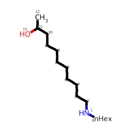 CCCCCCNCCCCCCCCCC(C)O